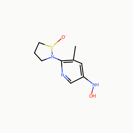 Cc1cc(NO)cnc1N1CCC[S+]1[O-]